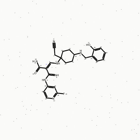 N#CCC1(N/C=C(\C(=N)Nc2ccnc(F)c2)C(N)=O)CCC(NCc2ccccc2O)CC1